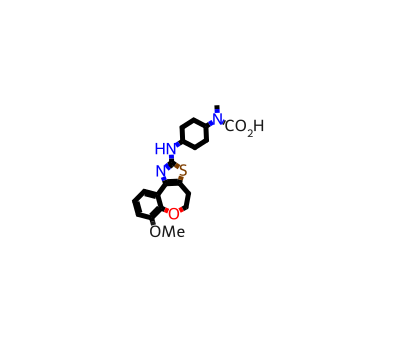 COc1cccc2c1OCCc1sc(NC3CCC(N(C)C(=O)O)CC3)nc1-2